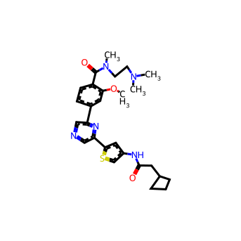 COc1cc(-c2cncc(-c3cc(NC(=O)CC4CCC4)cs3)n2)ccc1C(=O)N(C)CCN(C)C